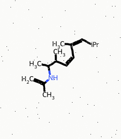 C=C(C)NC(C)C(C)/C=C\C(C)=C/C(C)C